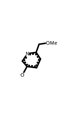 COCc1ccc([O])cn1